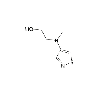 CN(CCO)c1cnsc1